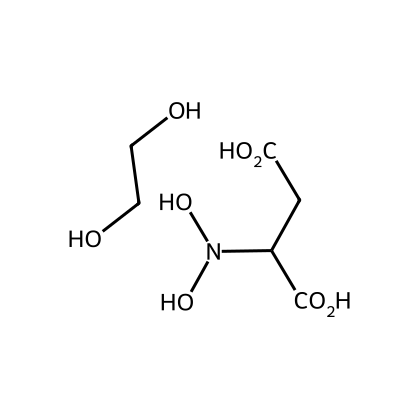 O=C(O)CC(C(=O)O)N(O)O.OCCO